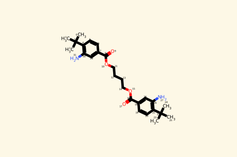 CC(C)(C)c1ccc(C(=O)OCCCCOC(=O)c2ccc(C(C)(C)C)c(N)c2)cc1N